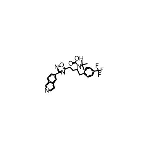 CC(C)(C)N(C(=O)O)C(CCc1nc(-c2ccc3cnccc3c2)no1)Cc1ccc(C(F)(F)F)cc1